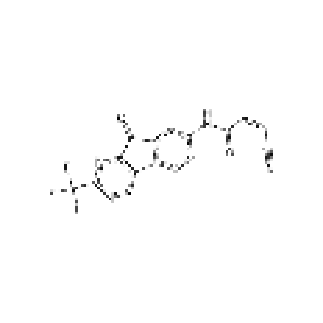 N#C/C=C\C(=O)Nc1ccc2c(c1)C(=O)c1nc(C(F)(F)F)ncc1-2